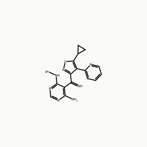 CC(C)Nc1ncnc(N)c1C(=N)c1noc(C2CC2)c1-c1ccccn1